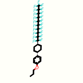 CCCOc1ccc([C@H]2CC[C@H](C(F)(F)C(F)(F)C(F)(F)C(F)(F)C(F)(F)C(F)(F)C(F)(F)C(F)(F)C(F)(F)C(F)(F)F)CC2)cc1